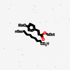 CCCCCCCCCCCCCCCCCC(=O)O.CCCCCCCCOC(=O)C=Cc1ccc(OC)cc1